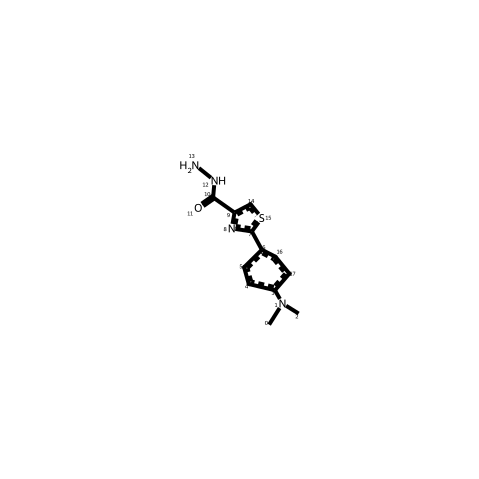 CN(C)c1ccc(-c2nc(C(=O)NN)cs2)cc1